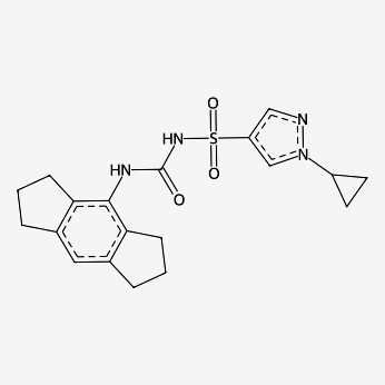 O=C(Nc1c2c(cc3c1CCC3)CCC2)NS(=O)(=O)c1cnn(C2CC2)c1